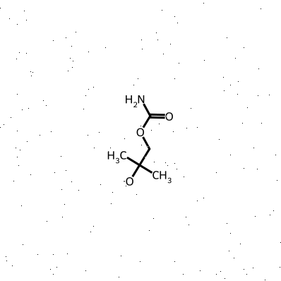 CC(C)([O])COC(N)=O